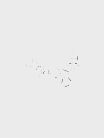 CC(C)(C)OC(=O)N1CCC2(C=C(OS(=O)(=O)C(F)(F)F)c3ccccc32)CC1